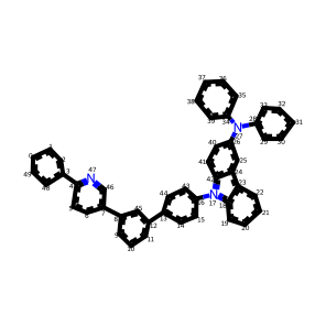 c1ccc(-c2ccc(-c3cccc(-c4ccc(-n5c6ccccc6c6cc(N(c7ccccc7)c7ccccc7)ccc65)cc4)c3)cn2)cc1